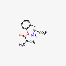 C=C(C)C(=O)Oc1ccccc1C[C@H](N)C(=O)O